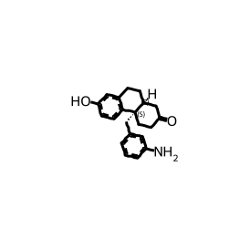 Nc1cccc(C[C@@]23CCC(=O)C[C@@H]2CCc2cc(O)ccc23)c1